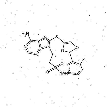 CNS(=O)(=O)CCn1c(SC2=COC(c3ccccc3I)O2)nc2c(N)ncnc21